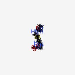 C=C(N/C=C(/c1csc2c(-c3ccc(-c4cnc(C5C=CCN5C(=O)CNC(=O)OC)[nH]4)cc3)csc12)C(C)CC)C1CCCN1C(=O)C(NC)C(C)C